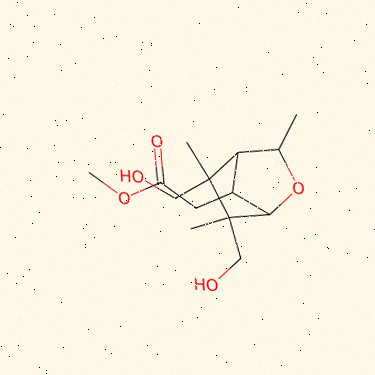 COC(=O)CC1C2OC(C)C1C(C)(CO)C2(C)CO